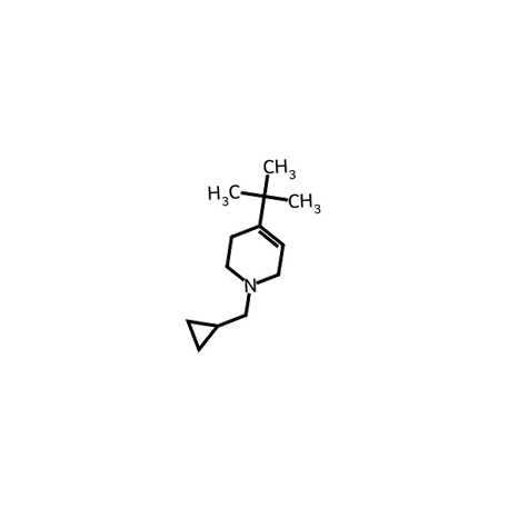 CC(C)(C)C1=CCN(CC2CC2)CC1